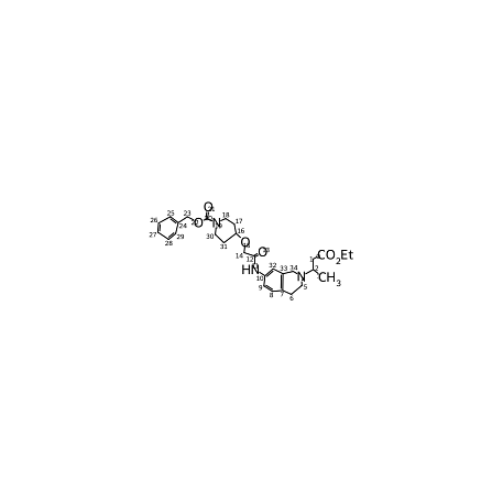 CCOC(=O)CC(C)N1CCc2ccc(NC(=O)COC3CCN(C(=O)OCc4ccccc4)CC3)cc2C1